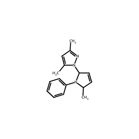 Cc1cc(C)n(C2C=CC(C)N2c2ccccc2)n1